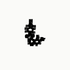 O=C(Oc1ncnc2ccc(Br)c(F)c12)N1CCC2(CC1)CNC2